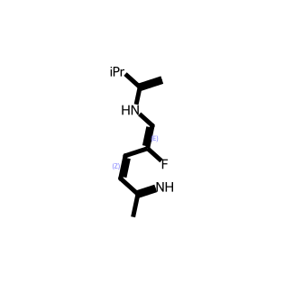 C=C(N/C=C(F)\C=C/C(C)=N)C(C)C